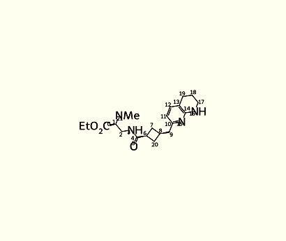 CCOC(=O)[C@H](CNC(=O)[C@H]1C[C@@H](Cc2ccc3c(n2)NCCC3)C1)NC